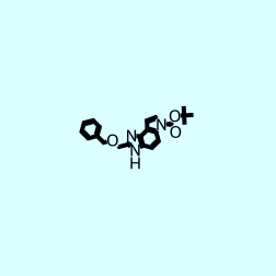 CC(C)(C)OC(=O)n1ccc2c3nc(COCc4ccccc4)[nH]c3ccc21